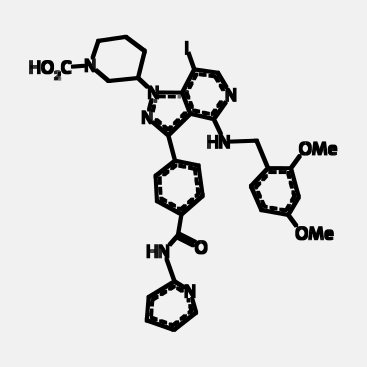 COc1ccc(CNc2ncc(I)c3c2c(-c2ccc(C(=O)Nc4ccccn4)cc2)nn3C2CCCN(C(=O)O)C2)c(OC)c1